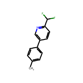 Cc1ccc(-c2ccc(C(F)F)nc2)cc1